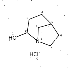 Cl.OC1CCC2CCN1C2